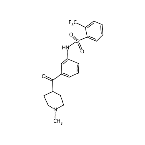 CN1CCC(C(=O)c2cccc(NS(=O)(=O)c3ccccc3C(F)(F)F)c2)CC1